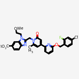 COCCn1c(Cn2c(C)cc(-c3cccc(OCc4ccc(C#N)cc4F)n3)cc2=O)nc2ccc(C(=O)O)cc21